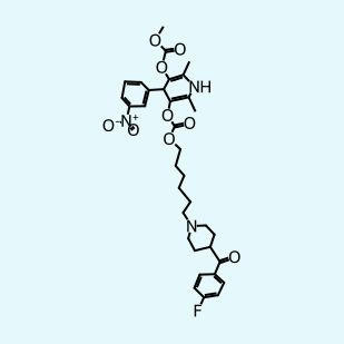 COC(=O)OC1=C(C)NC(C)=C(OC(=O)OCCCCCCN2CCC(C(=O)c3ccc(F)cc3)CC2)C1c1cccc([N+](=O)[O-])c1